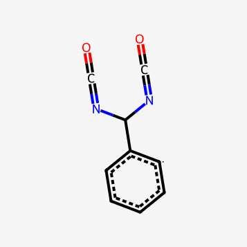 O=C=NC(N=C=O)c1[c]cccc1